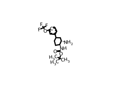 CC(C)(C)OC(=O)N[C@H]1CCC(c2cccc(OC(F)(F)F)c2)C[C@@H]1N